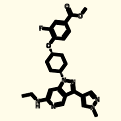 CCNc1cc2c(cn1)c(-c1cnn(C)c1)nn2[C@H]1CC[C@@H](Oc2ccc(C(=O)OC)cc2F)CC1